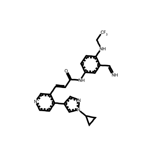 N=Cc1cc(NC(=O)/C=C/c2cnccc2-c2cnn(C3CC3)c2)ccc1NCC(F)(F)F